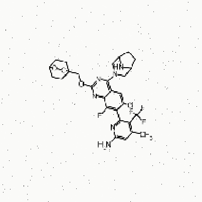 Cc1cc(N)nc(-c2c(Cl)cc3c(N4CC5CCC(C4)N5)nc(OCC45CCC(CC4)OC5)nc3c2F)c1C(F)(F)F